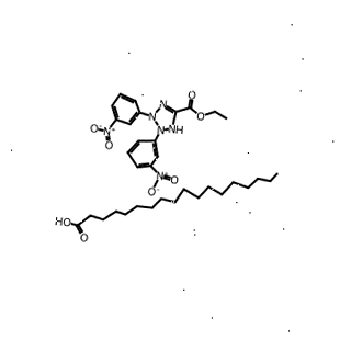 CCCCCCCCCCCCCCCCCC(=O)O.CCOC(=O)C1=NN(c2cccc([N+](=O)[O-])c2)N(c2cccc([N+](=O)[O-])c2)N1